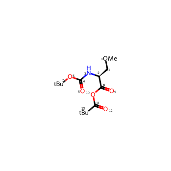 COC[C@H](NC(=O)OC(C)(C)C)C(=O)OC(=O)C(C)(C)C